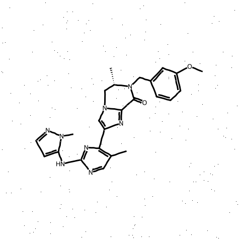 COc1cccc(CN2C(=O)c3nc(-c4nc(Nc5ccnn5C)ncc4C)cn3C[C@@H]2C)c1